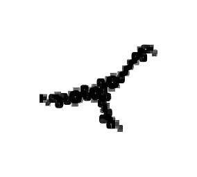 C=CC(=O)OCCCCCCOc1ccc(C(=O)Oc2ccc(OC(=O)c3ccc(OOC(=O)C=C)cc3)cc2C(=O)OCCOC(=O)C=C)cc1